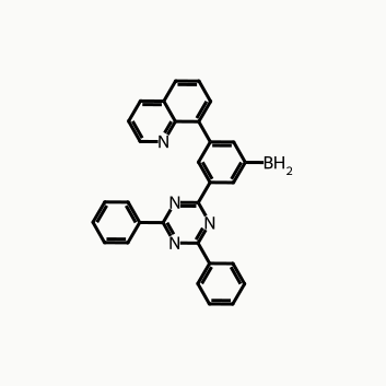 Bc1cc(-c2nc(-c3ccccc3)nc(-c3ccccc3)n2)cc(-c2cccc3cccnc23)c1